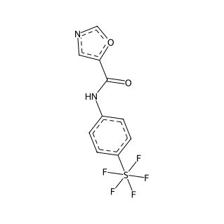 O=C(Nc1ccc(S(F)(F)(F)(F)F)cc1)c1cnco1